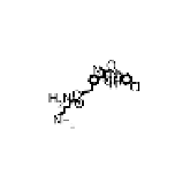 NCCCCC(N)C(=O)OC#CCc1ccc2ncc(C(=O)NCc3ccc(Cl)cc3)c(O)c2c1